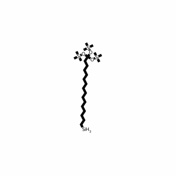 C[Si](C)(C)OC(CCCCCCCCCCCCCCC[SiH3])(O[Si](C)(C)C)O[Si](C)(C)C